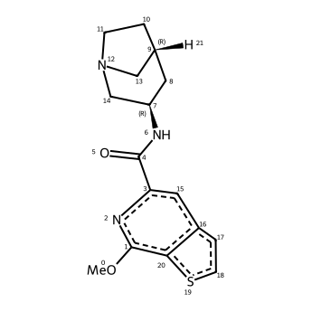 COc1nc(C(=O)N[C@@H]2C[C@H]3CCN(C3)C2)cc2ccsc12